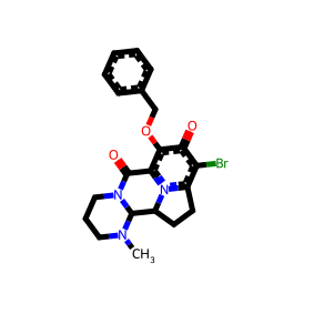 CN1CCCN2C(=O)c3c(OCc4ccccc4)c(=O)c(Br)c4n3C(CC4)C12